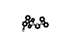 N#Cc1ccc2c(c1)C1(c3ccccc3-2)c2ccccc2N(c2cccc(-n3c4ccccc4c4ccccc43)n2)c2ccccc21